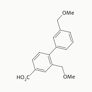 COCc1cccc(-c2ccc(C(=O)O)cc2COC)c1